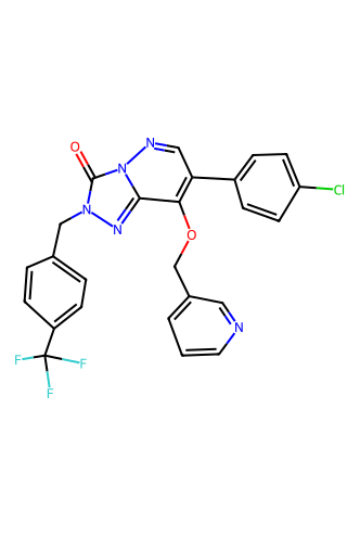 O=c1n(Cc2ccc(C(F)(F)F)cc2)nc2c(OCc3cccnc3)c(-c3ccc(Cl)cc3)cnn12